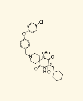 CCCCN1C(=O)[C@@H](CC2(O)CCCCC2)NC(=O)C12CCN(Cc1ccc(Oc3ccc(Cl)cc3)cc1)CC2